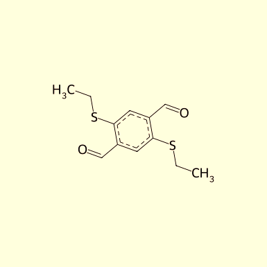 CCSc1cc(C=O)c(SCC)cc1C=O